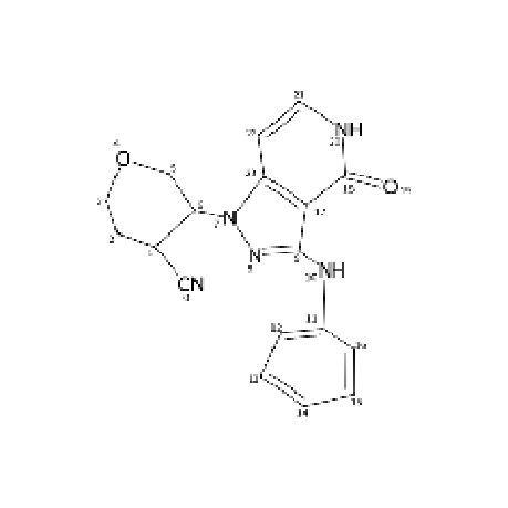 N#CC1CCOCC1n1nc(Nc2ccccc2)c2c(=O)[nH]ccc21